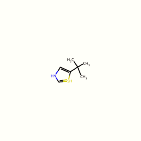 CC(C)(C)C1=CNC=[SH]1